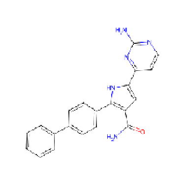 NC(=O)c1cc(-c2ccnc(N)n2)[nH]c1-c1ccc(-c2ccccc2)cc1